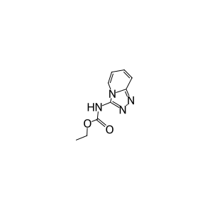 CCOC(=O)Nc1nnc2ccccn12